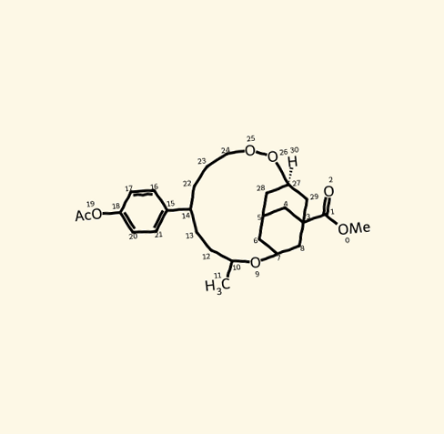 COC(=O)C12CC3CC(C1)OC(C)CCC(c1ccc(OC(C)=O)cc1)CCCOO[C@H](C3)C2